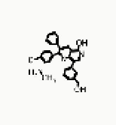 CN.OCc1cccc(-c2cnc(O)c3cc(-c4ccccc4)c(-c4ccc(Cl)cc4)nc23)c1